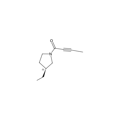 CC#CC(=O)N1CC[C@H](CC)C1